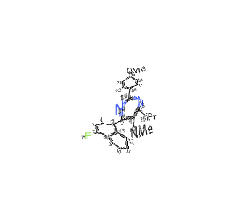 CNc1c(-c2ccc(F)c3ccccc23)nc(-c2ccc(OC)cc2)nc1C(C)C